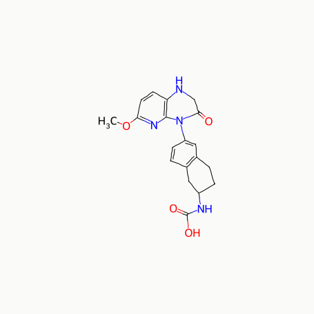 COc1ccc2c(n1)N(c1ccc3c(c1)CCC(NC(=O)O)C3)C(=O)CN2